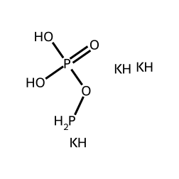 O=P(O)(O)OP.[KH].[KH].[KH]